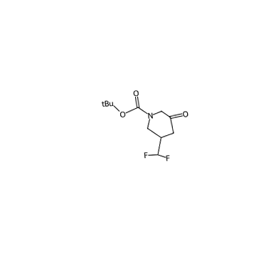 CC(C)(C)OC(=O)N1CC(=O)CC(C(F)F)C1